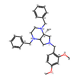 COc1ccc(CN2CC3[C@H](C2)N(Cc2ccccc2)CCN3Cc2ccccc2)c(OC)c1